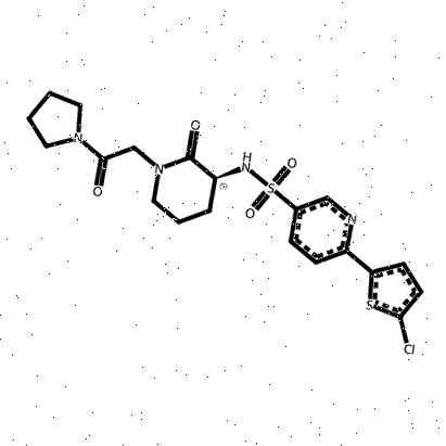 O=C(CN1CCC[C@H](NS(=O)(=O)c2ccc(-c3ccc(Cl)s3)nc2)C1=O)N1CCCC1